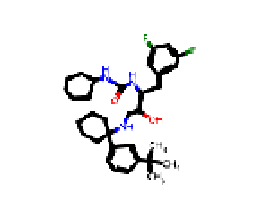 CC(C)(C)c1cccc(C2(NCC(O)C(Cc3cc(F)cc(F)c3)NC(=O)NC3CCCCC3)CCCCC2)c1